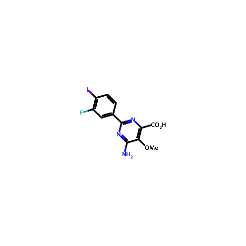 COc1c(N)nc(-c2ccc(I)c(F)c2)nc1C(=O)O